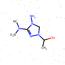 CC(O)N1CN(N)C(N(C#N)[N+](=O)[O-])=N1